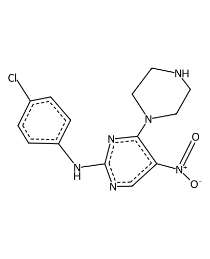 O=[N+]([O-])c1cnc(Nc2ccc(Cl)cc2)nc1N1CCNCC1